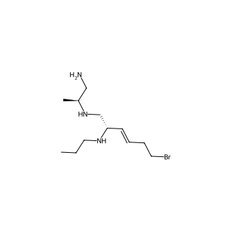 CCCN[C@@H](/C=C/CCBr)CN[C@@H](C)CN